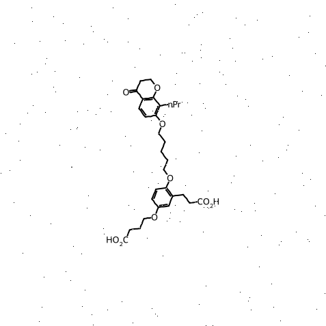 CCCc1c(OCCCCCOc2ccc(OCCCC(=O)O)cc2CCC(=O)O)ccc2c1OCCC2=O